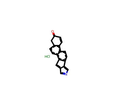 Cl.O=C1C=Cc2c(ccc3c4c(ccc23)C2=CN=CC2=C4)C1